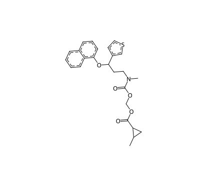 CC1CC1C(=O)OCOC(=O)N(C)CCC(Oc1cccc2ccccc12)c1ccsc1